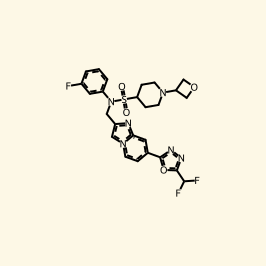 O=S(=O)(C1CCN(C2COC2)CC1)N(Cc1cn2ccc(-c3nnc(C(F)F)o3)cc2n1)c1cccc(F)c1